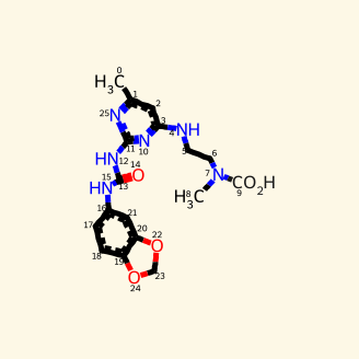 Cc1cc(NCCN(C)C(=O)O)nc(NC(=O)Nc2ccc3c(c2)OCO3)n1